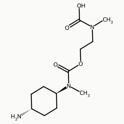 CN(CCOC(=O)N(C)[C@H]1CC[C@H](N)CC1)C(=O)O